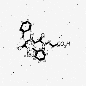 CC(C)(C)OC(=O)[C@H](Cc1ccccc1)N[C@@H](Cc1ccccc1)C(=O)NCCC(=O)O